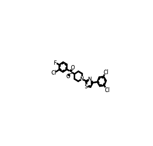 O=S(=O)(c1ccc(F)c(Cl)c1)C1CCN(c2nc(-c3cc(Cl)cc(Cl)c3)cs2)CC1